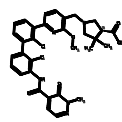 COc1nc(-c2cccc(-c3cccc(NC(=O)c4ccnn(C)c4=O)c3Cl)c2Cl)ccc1CN1C[C@H](C(=O)O)C(C)(C)C1